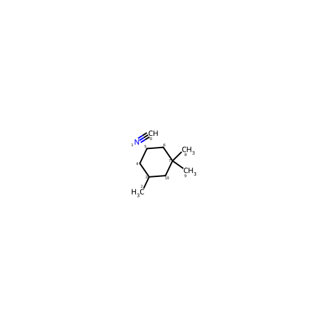 C#N.CC1CCCC(C)(C)C1